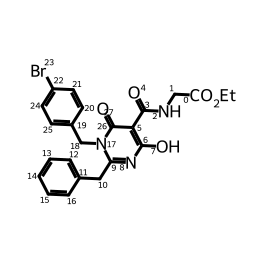 CCOC(=O)CNC(=O)c1c(O)nc(Cc2ccccc2)n(Cc2ccc(Br)cc2)c1=O